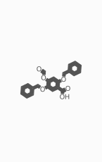 O=COc1cc(OCc2ccccc2)c(C(=O)O)cc1OCc1ccccc1